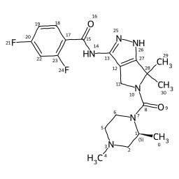 C[C@H]1CN(C)CCN1C(=O)N1Cc2c(NC(=O)c3ccc(F)cc3F)n[nH]c2C1(C)C